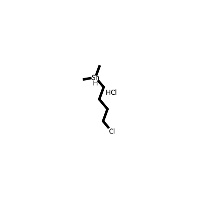 Cl.[CH3][SnH]([CH3])[CH2]CCCCl